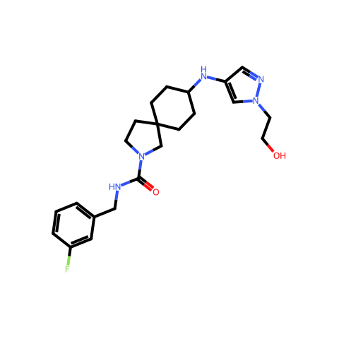 O=C(NCc1cccc(F)c1)N1CCC2(CCC(Nc3cnn(CCO)c3)CC2)C1